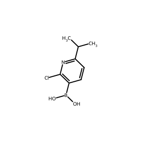 CC(C)c1ccc(B(O)O)c(Cl)n1